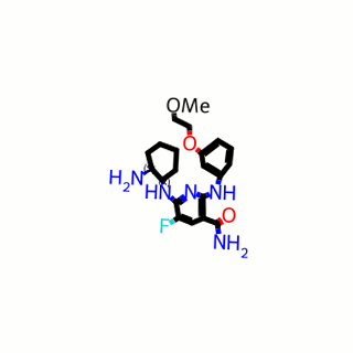 COCCOc1cccc(Nc2nc(N[C@@H]3CCCC[C@@H]3N)c(F)cc2C(N)=O)c1